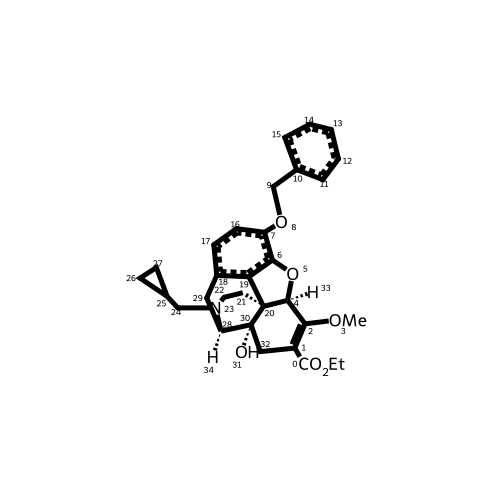 CCOC(=O)C1=C(OC)[C@@H]2Oc3c(OCc4ccccc4)ccc4c3[C@@]23CCN(CC2CC2)[C@H](C4)[C@]3(O)C1